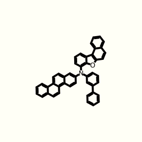 c1ccc(-c2cccc(N(c3ccc4c(ccc5c6ccccc6ccc45)c3)c3cccc4c3oc3ccc5ccccc5c34)c2)cc1